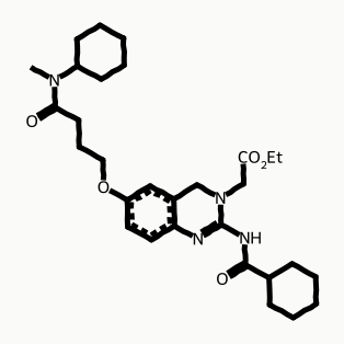 CCOC(=O)CN1Cc2cc(OCCCC(=O)N(C)C3CCCCC3)ccc2N=C1NC(=O)C1CCCCC1